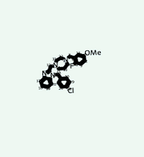 COc1ccc(F)c(CN2CCCN(Cc3nc4ccccc4n3Cc3ccc(Cl)cc3)CC2)c1